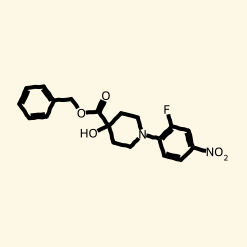 O=C(OCc1ccccc1)C1(O)CCN(c2ccc([N+](=O)[O-])cc2F)CC1